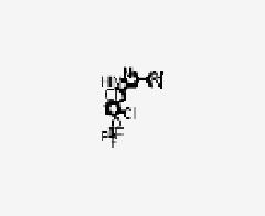 Cn1cc(-c2cnc3[nH]cc(Cc4c(Cl)ccc(OCC(F)(F)F)c4Cl)c3c2)cn1